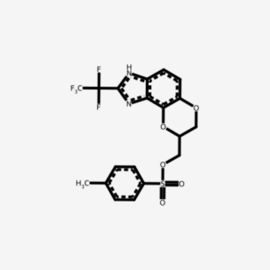 Cc1ccc(S(=O)(=O)OCC2COc3ccc4[nH]c(C(F)(F)C(F)(F)F)nc4c3O2)cc1